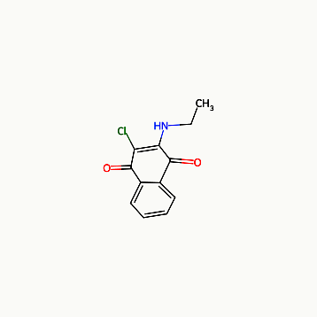 CCNC1=C(Cl)C(=O)c2ccccc2C1=O